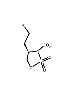 O=C(O)N1[C@H](CCF)COS1(=O)=O